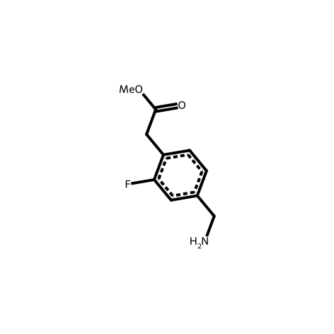 COC(=O)Cc1ccc(CN)cc1F